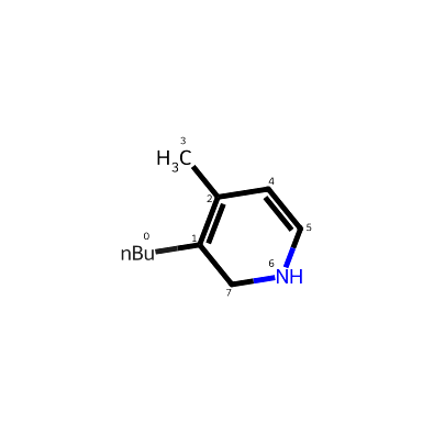 CCCCC1=C(C)C=CNC1